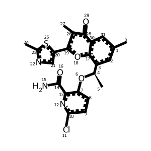 Cc1cc([C@@H](C)Oc2ccc(Cl)nc2C(N)=O)c2oc(-c3cnc(C)s3)c(C)c(=O)c2c1